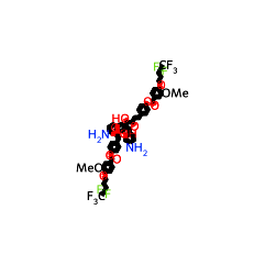 COc1cc(C(=O)Oc2ccc(/C=C/C(=O)C(O)C(Cc3ccc(N)cc3)(Cc3ccc(N)cc3)C(O)C(=O)/C=C/c3ccc(OC(=O)c4ccc(OCCCC(F)(F)C(F)(F)F)c(OC)c4)cc3)cc2)ccc1OCCCC(F)(F)C(F)(F)F